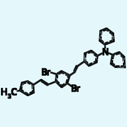 Cc1ccc(/C=C/c2cc(Br)c(/C=C/c3ccc(N(c4ccccc4)c4ccccc4)cc3)cc2Br)cc1